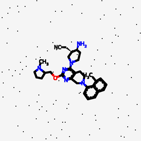 Cc1cccc2cccc(N3CCc4c(nc(OCC5CCCN5C)nc4N4CC[C@H](N)[C@@H](CC#N)C4)C3)c12